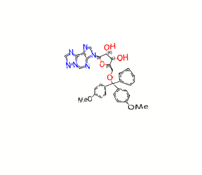 COc1ccc(C(OC[C@H]2O[C@@H](n3cnc4c3ncn3ncnc43)[C@H](O)[C@@H]2O)(c2ccccc2)c2ccc(OC)cc2)cc1